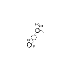 CCc1cc(N2CCC(O)(Cc3ccccc3F)CC2)ccc1C(=O)O